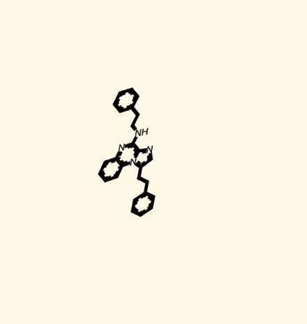 c1ccc(CCNc2nc3ccccc3n3c(CCc4ccccc4)cnc23)cc1